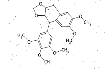 COc1cc2c(cc1OC)C(c1cc(OC)c(OC)c(OC)c1)C1OCOC1C2